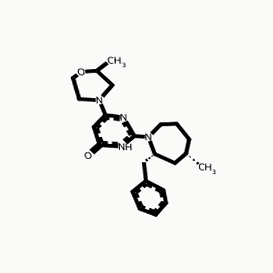 CC1CN(c2cc(=O)[nH]c(N3CCC[C@H](C)C[C@@H]3Cc3ccccc3)n2)CCO1